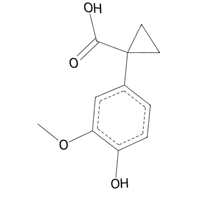 COc1cc(C2(C(=O)O)CC2)ccc1O